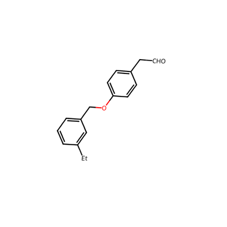 CCc1cccc(COc2ccc(CC=O)cc2)c1